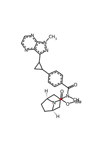 CN(C(=O)c1ccc(C2CC2c2nn(C)c3nccnc23)cc1)C1C[C@H]2CC[C@@H](C1)N2C(=O)OC(C)(C)C